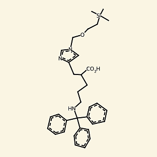 C[Si](C)(C)CCOCn1cnc(CC(CCCNC(c2ccccc2)(c2ccccc2)c2ccccc2)C(=O)O)c1